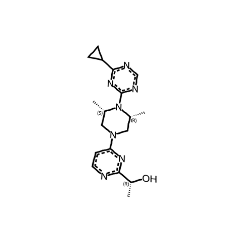 C[C@@H]1CN(c2ccnc([C@@H](C)O)n2)C[C@H](C)N1c1ncnc(C2CC2)n1